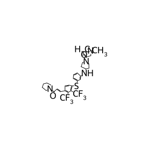 CN(C)CC(=O)N1CCC(Nc2cccc(Sc3ccc(C=CC(=O)N4CCCCC4)c(C(F)(F)F)c3C(F)(F)F)c2)CC1